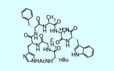 CCCC[C@H](NC(C)=O)C(=O)N[C@@H](C)C(=O)N[C@@H](Cc1c[nH]cn1)C(=O)N[C@H](Cc1ccccc1)C(=O)N[C@@H](C)C(=O)N[C@@H](C)C(=O)N[C@@H](Cc1c[nH]c2ccccc12)C(N)=O